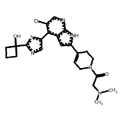 CN(C)CC(=O)N1CC=C(c2cc3c(-c4cnc(C5(O)CCC5)s4)c(Cl)cnc3[nH]2)CC1